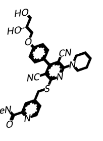 CNC(=O)c1cc(CSc2nc(N3CCCCC3)c(C#N)c(-c3ccc(OC[C@H](O)CO)cc3)c2C#N)ccn1